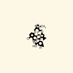 Cn1nnc(COc2ccc(Cl)c3c2[C@@H](CN2CC4(CC4)CC2=O)N(C(=O)[C@@H]2CC4C[C@H]4C[C@]2(C)C(=O)O)CC3)c1C(F)F